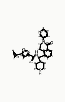 O=C(NC(c1cccc2c1CCN(c1cccnc1)C2=O)C1CCNCC1)c1cc(C2CC2)on1